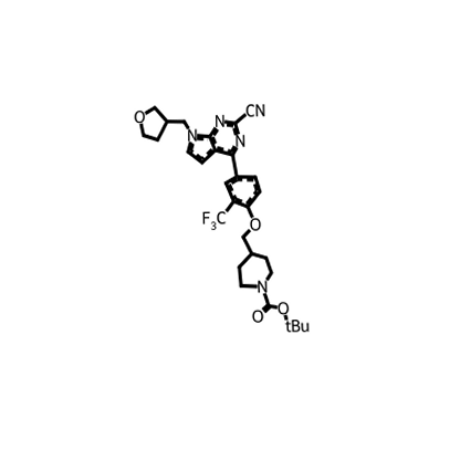 CC(C)(C)OC(=O)N1CCC(COc2ccc(-c3nc(C#N)nc4c3ccn4CC3CCOC3)cc2C(F)(F)F)CC1